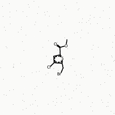 COC(=O)c1cc(Cl)c(CBr)s1